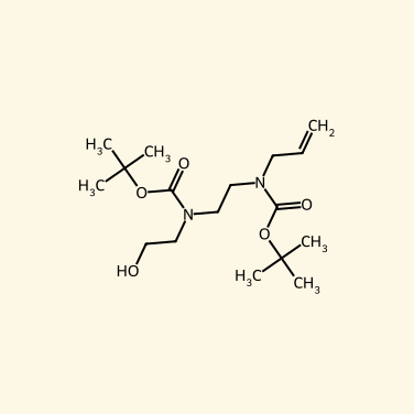 C=CCN(CCN(CCO)C(=O)OC(C)(C)C)C(=O)OC(C)(C)C